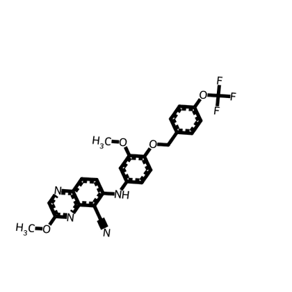 COc1cnc2ccc(Nc3ccc(OCc4ccc(OC(F)(F)F)cc4)c(OC)c3)c(C#N)c2n1